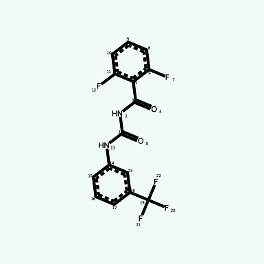 O=C(NC(=O)c1c(F)cccc1F)Nc1cccc(C(F)(F)F)c1